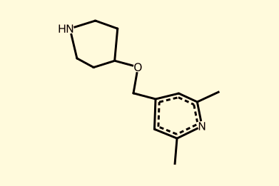 Cc1cc(COC2CCNCC2)cc(C)n1